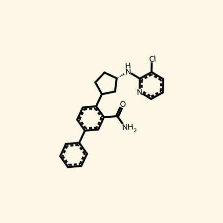 NC(=O)c1cc(-c2ccccc2)ccc1C1CC[C@H](Nc2ncccc2Cl)C1